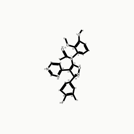 COc1cccc(N(C(C)=O)c2onc(-c3ccc(F)c(C)c3)c2-c2ccncn2)c1OC